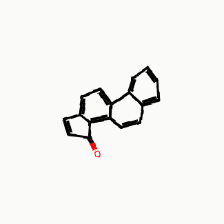 O=C1C=Cc2ccc3c(ccc4ccccc43)c21